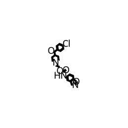 O=C(Nc1ccc2oncc2c1)OCCN1CCC(C(=O)c2ccc(Cl)cc2)CC1